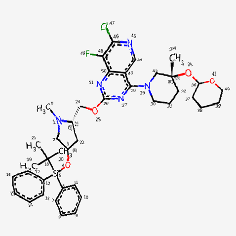 CN1C[C@H](O[Si](c2ccccc2)(c2ccccc2)C(C)(C)C)C[C@H]1COc1nc(N2CCC[C@@](C)(OC3CCCCO3)C2)c2cnc(Cl)c(F)c2n1